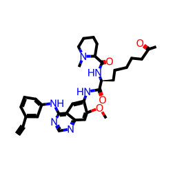 C#Cc1cccc(Nc2ncnc3cc(OC)c(NC(=O)[C@H](CCCCCC(C)=O)NC(=O)C4CCCCN4C)cc23)c1